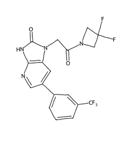 O=C(Cn1c(=O)[nH]c2ncc(-c3cccc(C(F)(F)F)c3)cc21)N1CC(F)(F)C1